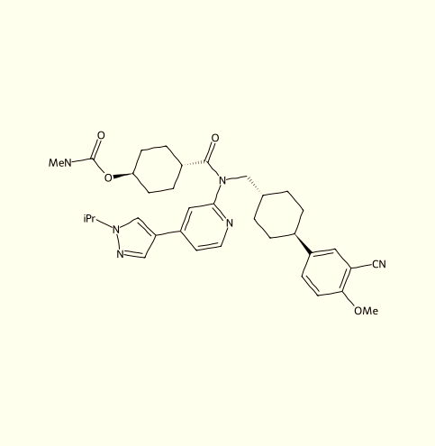 CNC(=O)O[C@H]1CC[C@H](C(=O)N(C[C@H]2CC[C@H](c3ccc(OC)c(C#N)c3)CC2)c2cc(-c3cnn(C(C)C)c3)ccn2)CC1